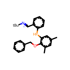 Cc1cc(C)c(OCc2ccccc2)c(Pc2ccccc2/C=N/C(C)(C)C)c1